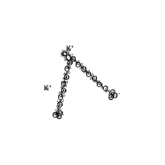 O=S(=O)([O-])CCCOCCOCCOCCOCCOCCOCCOc1cc2ccccc2cc1OCCOCCOCCOCCOCCOCCOCCCS(=O)(=O)[O-].[K+].[K+]